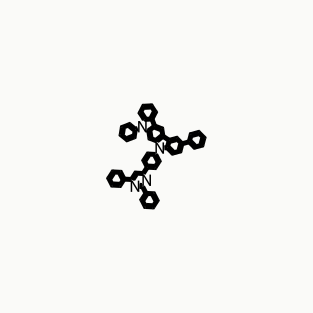 c1ccc(-c2ccc3c(c2)c2cc4c5ccccc5n(-c5ccccc5)c4cc2n3-c2ccc(-c3cc(-c4ccccc4)nc(-c4ccccc4)n3)cc2)cc1